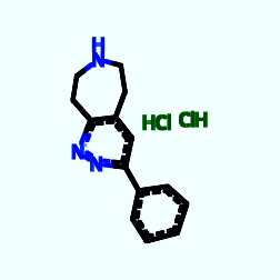 Cl.Cl.c1ccc(-c2cc3c(nn2)CCNCC3)cc1